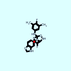 Cc1cc(NC23N=CC(F)=C(NO2)N3c2ccc3c(c2)NCO3)cc(C)c1F